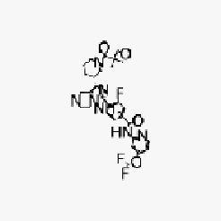 CC1(C(=O)N2CCC[C@@H](C3=C4C=NC=C[N+]4(N)C(c4ccc(C(=O)Nc5cc(OC(F)F)ccn5)cc4F)=N3)C2)COC1